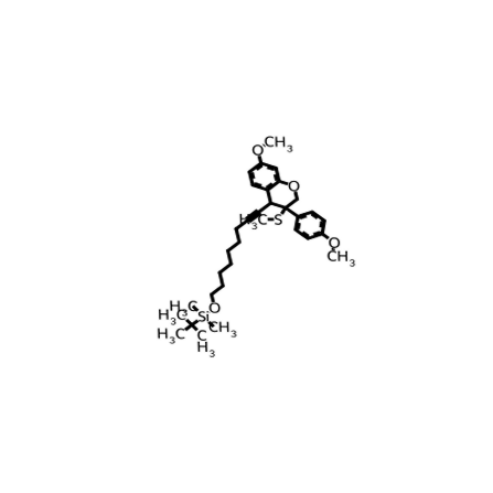 COc1ccc(C2(SC)COc3cc(OC)ccc3C2C#CCCCCCCCO[Si](C)(C)C(C)(C)C)cc1